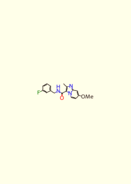 COc1ccn2c(C(=O)NCc3cccc(F)c3)c(C)nc2c1